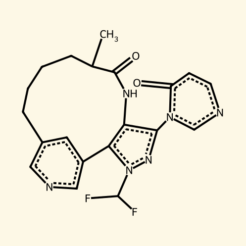 CC1CCCCc2cncc(c2)-c2c(c(-n3cnccc3=O)nn2C(F)F)NC1=O